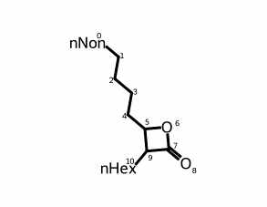 CCCCCCCCCCCCCC1OC(=O)C1CCCCCC